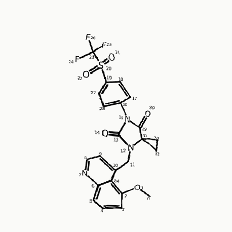 COc1cccc2nccc(CN3C(=O)N(c4ccc(S(=O)(=O)C(F)(F)F)cc4)C(=O)C34CC4)c12